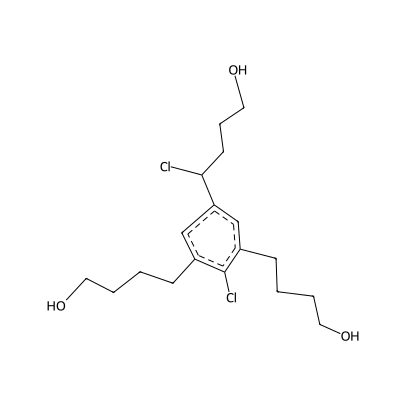 OCCCCc1cc(C(Cl)CCCO)cc(CCCCO)c1Cl